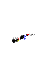 CSCCCNCc1ccc(COc2scc(-c3ccccc3)c2C#N)cc1